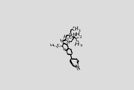 CCOCc1nc2c(C)nc3cc(-c4ccncc4)ccc3c2n1CC(C)(C)N